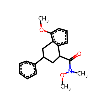 COc1cccc2c1CC(c1ccccc1)CC2C(=O)N(C)OC